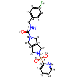 O=C(NCc1ccc(F)cc1)N1CC2=C(C1)CN(S(=O)(=O)c1ccccn1)C2